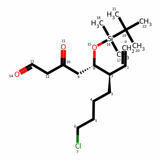 C=C[C@@H](CCCCCl)[C@H](CC(=O)CC=O)O[Si](C)(C)C(C)(C)C